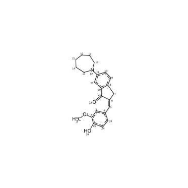 COc1cc(C=C2Cc3ccc(N4CCCCCC4)cc3C2=O)ccc1O